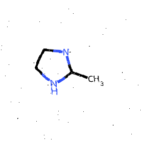 CC1[N]CCN1